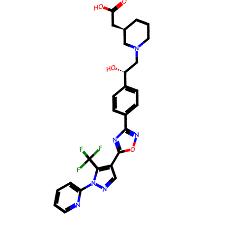 O=C(O)C[C@H]1CCCN(C[C@@H](O)c2ccc(-c3noc(-c4cnn(-c5ccccn5)c4C(F)(F)F)n3)cc2)C1